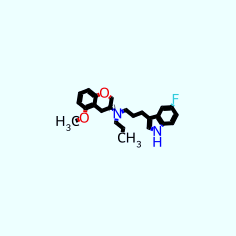 CCCN(CCCc1c[nH]c2ccc(F)cc12)[C@@H]1COc2cccc(OC)c2C1